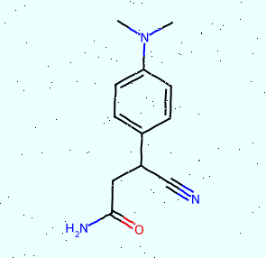 CN(C)c1ccc(C(C#N)CC(N)=O)cc1